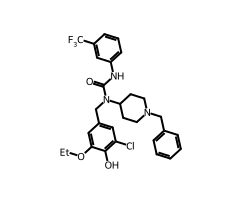 CCOc1cc(CN(C(=O)Nc2cccc(C(F)(F)F)c2)C2CCN(Cc3ccccc3)CC2)cc(Cl)c1O